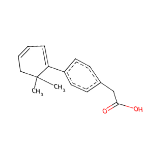 CC1(C)CC=CC=C1c1ccc(CC(=O)O)cc1